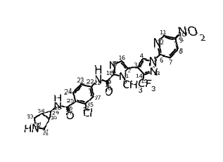 Cn1c(-c2cn(-c3ccc([N+](=O)[O-])cn3)nc2C(F)(F)F)cnc1C(=O)Nc1ccc(C(=O)NC2C3CNCC32)c(Cl)c1